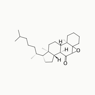 CC(C)CCC[C@@H](C)[C@H]1CC[C@H]2[C@@H]3C(=O)C4OC45CCCC[C@]5(C)[C@H]3CC[C@]12C